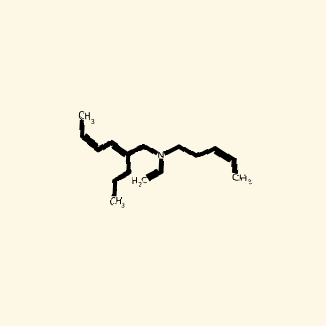 C=CN(CC/C=C\C)C/C(=C/C=C\C)CCC